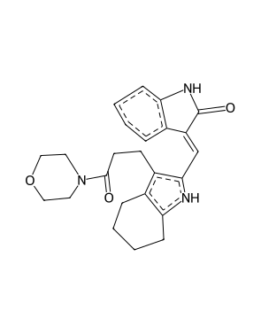 O=C1Nc2ccccc2/C1=C\c1[nH]c2c(c1CCC(=O)N1CCOCC1)CCCC2